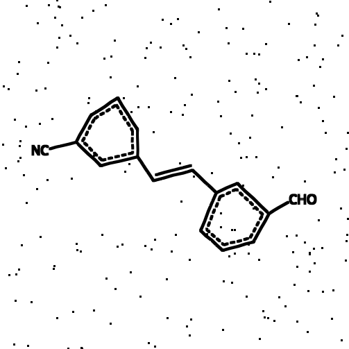 N#Cc1cccc(/C=C/c2cccc(C=O)c2)c1